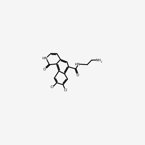 NCCNC(=O)c1cc2cc[nH]c(=O)c2c2cc(Cl)c(Cl)cc12